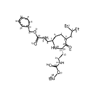 CCC(CC)CN1CCC(CNC(=O)OCc2ccccc2)N[C@@H](CCNC(=O)OC(C)(C)C)C1=O